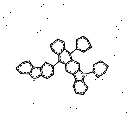 c1ccc(-c2c3ccccc3c(-c3ccc4oc5ccccc5c4c3)c3cc4c5ccccc5n(-c5ccccc5)c4cc23)cc1